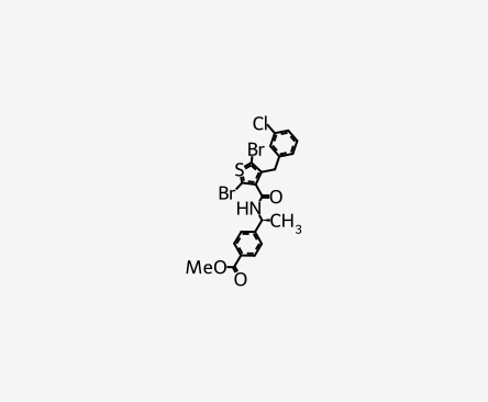 COC(=O)c1ccc([C@H](C)NC(=O)c2c(Br)sc(Br)c2Cc2cccc(Cl)c2)cc1